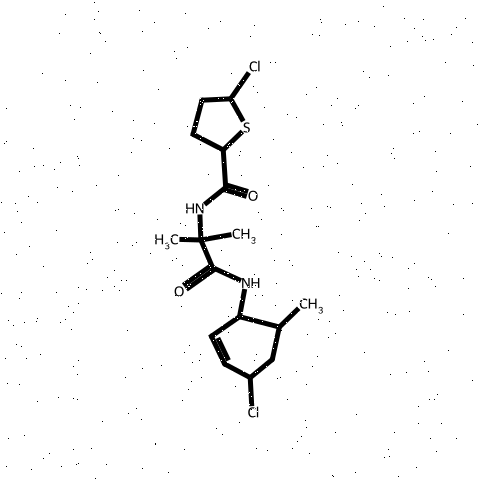 CC1CC(Cl)C=CC1NC(=O)C(C)(C)NC(=O)C1CCC(Cl)S1